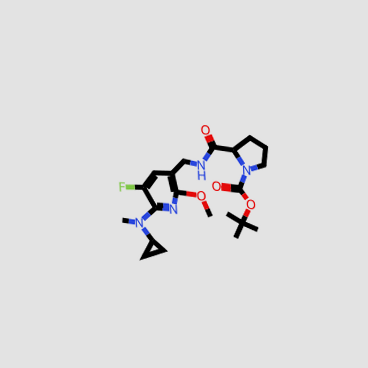 COc1nc(N(C)C2CC2)c(F)cc1CNC(=O)C1CCCN1C(=O)OC(C)(C)C